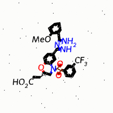 COc1ccccc1/C(N)=N/C(=N)c1ccc2c(c1)N(S(=O)(=O)c1cccc(C(F)(F)F)c1)C[C@H](CCC(=O)O)O2